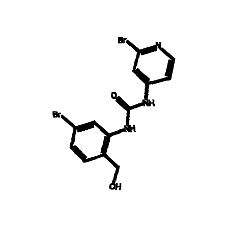 O=C(Nc1ccnc(Br)c1)Nc1cc(Br)ccc1CO